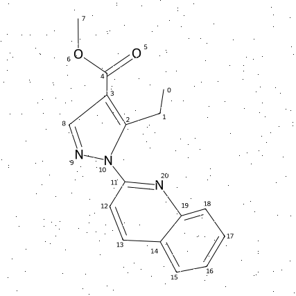 CCc1c(C(=O)OC)cnn1-c1ccc2ccccc2n1